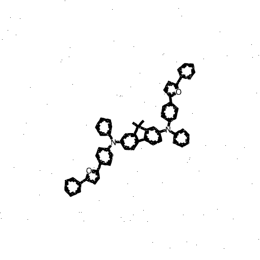 CC1(C)c2cc(N(c3ccccc3)c3ccc(-c4ccc(-c5ccccc5)o4)cc3)ccc2-c2ccc(N(c3ccccc3)c3ccc(-c4ccc(-c5ccccc5)o4)cc3)cc21